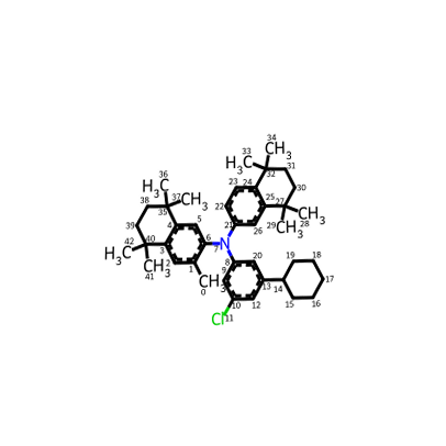 Cc1cc2c(cc1N(c1cc(Cl)cc(C3CCCCC3)c1)c1ccc3c(c1)C(C)(C)CCC3(C)C)C(C)(C)CCC2(C)C